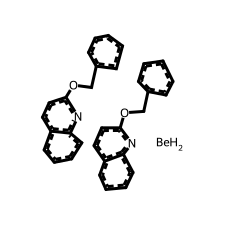 [BeH2].c1ccc(COc2ccc3ccccc3n2)cc1.c1ccc(COc2ccc3ccccc3n2)cc1